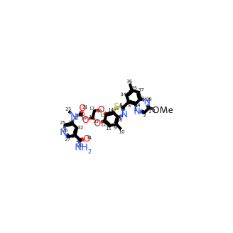 COc1cnc2c(-c3nc4c(C)cc5c(c4s3)OCC(OC(=O)N(C)c3cncc(C(N)=O)c3)O5)cc(C)cc2n1